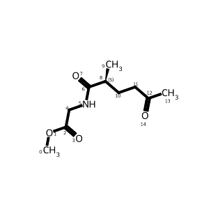 COC(=O)CNC(=O)[C@@H](C)CCC(C)=O